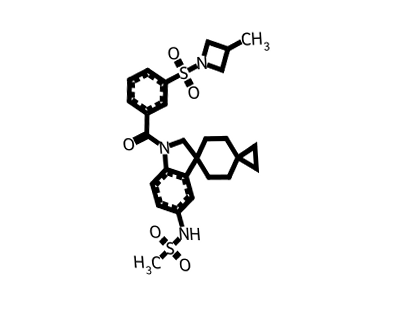 CC1CN(S(=O)(=O)c2cccc(C(=O)N3CC4(CCC5(CC5)CC4)c4cc(NS(C)(=O)=O)ccc43)c2)C1